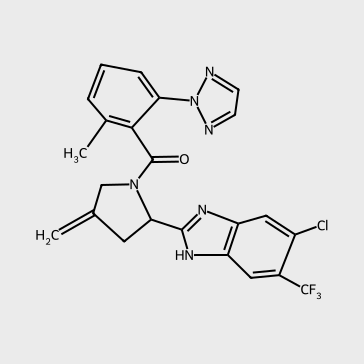 C=C1CC(c2nc3cc(Cl)c(C(F)(F)F)cc3[nH]2)N(C(=O)c2c(C)cccc2-n2nccn2)C1